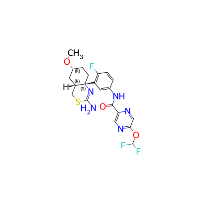 CO[C@@H]1CC[C@]2(c3cc(NC(=O)c4cnc(OC(F)F)cn4)ccc3F)N=C(N)SC[C@@H]2C1